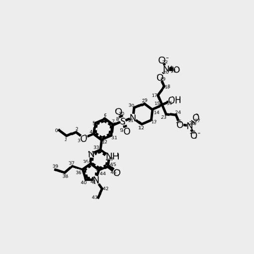 CCCOc1ccc(S(=O)(=O)N2CCC(C(O)(CCO[N+](=O)[O-])CCO[N+](=O)[O-])CC2)cc1-c1nc2c(CCC)cn(CC)c2c(=O)[nH]1